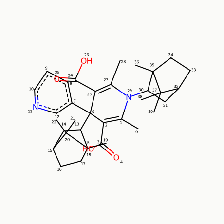 CC1=C(C(=O)O)C(c2cccnc2)(C2CC3CCC2(C)C3(C)C)C(C(=O)O)=C(C)N1C1CC2CCC1(C)C2(C)C